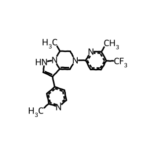 Cc1cc(C2=CNN3C2=CN(c2ccc(C(F)(F)F)c(C)n2)CC3C)ccn1